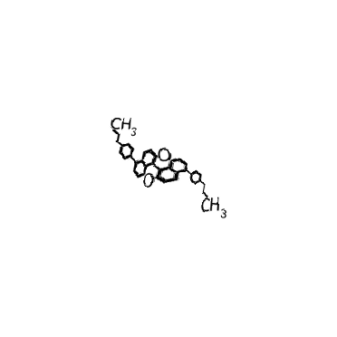 CCCCc1ccc(-c2ccc3oc4ccc5c(-c6ccc(CCCC)cc6)ccc6oc7ccc2c3c7-c4c65)cc1